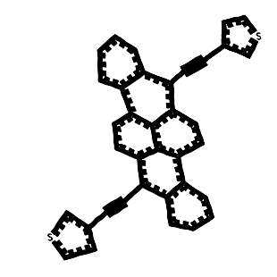 C(#Cc1c2ccccc2c2ccc3c(C#Cc4ccsc4)c4ccccc4c4ccc1c2c34)c1ccsc1